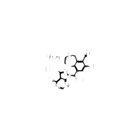 Cc1nn(C(C)c2cc(Cl)c(C#N)c3c2OCCNC3)c2ncnc(N)c12.Cl.Cl